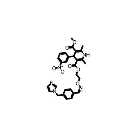 COC(=O)C1=C(C)NC(C)=C(C(=O)OCCO/N=C\c2ccc(Cn3ccnc3)cc2)C1c1cccc([N+](=O)[O-])c1